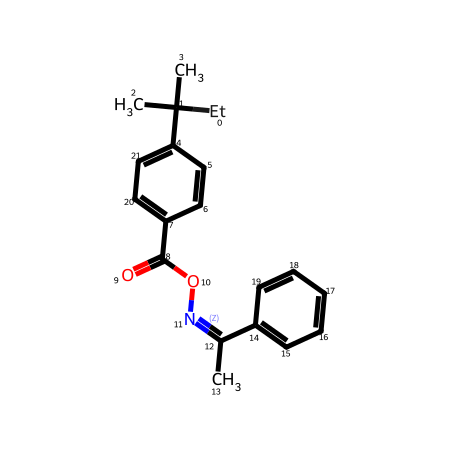 CCC(C)(C)c1ccc(C(=O)O/N=C(/C)c2ccccc2)cc1